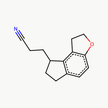 N#CCCC1CCc2ccc3c(c21)CCO3